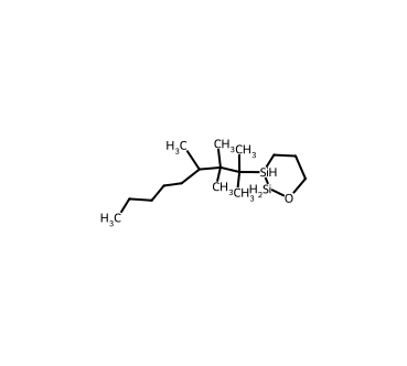 CCCCCC(C)C(C)(C)C(C)(C)[SiH]1CCCO[SiH2]1